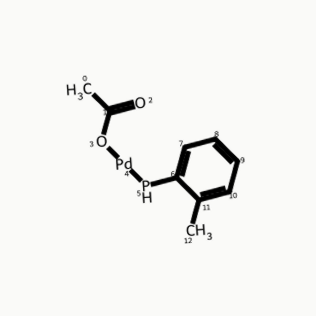 CC(=O)[O][Pd][PH]c1ccccc1C